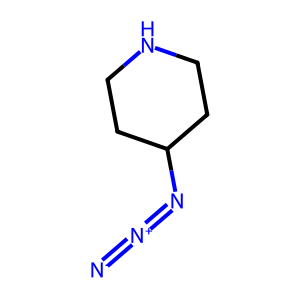 [N-]=[N+]=NC1CCNCC1